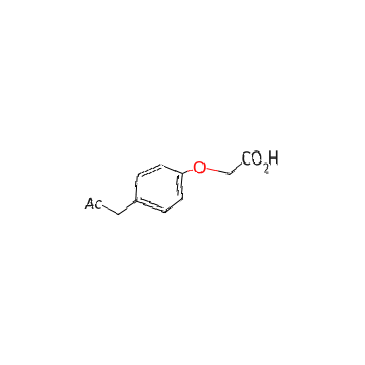 CC(=O)Cc1ccc(OCC(=O)O)cc1